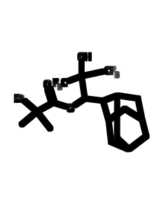 CCC(C)(C)C(=O)OC(C1C2CC3CC(C2)CC1C3)C(O)(C(F)(F)F)C(F)(F)F